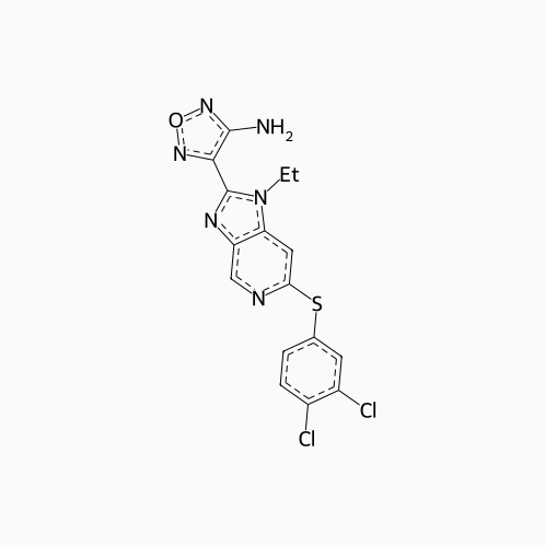 CCn1c(-c2nonc2N)nc2cnc(Sc3ccc(Cl)c(Cl)c3)cc21